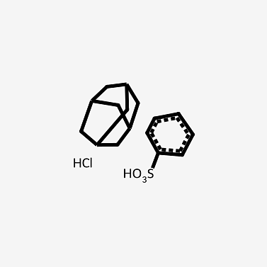 C1C2CC3CC1CC(C2)C3.Cl.O=S(=O)(O)c1ccccc1